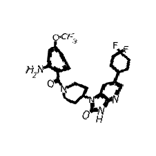 Nc1cc(OC(F)(F)F)ccc1C(=O)N1CCC(n2c(=O)[nH]c3ncc(C4CCC(F)(F)CC4)cc32)CC1